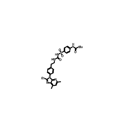 CCc1nc2c(C)cc(C)nc2n1-c1ccc(CCNC(=O)NS(=O)(=O)c2ccc(NC(=O)C(C)(C)C)cc2)cc1